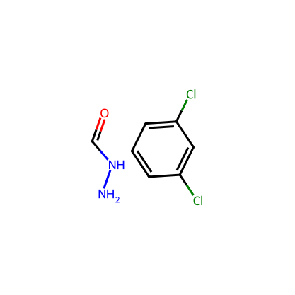 Clc1cccc(Cl)c1.NNC=O